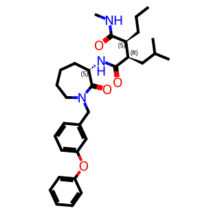 CCC[C@H](C(=O)NC)[C@@H](CC(C)C)C(=O)N[C@H]1CCCCN(Cc2cccc(Oc3ccccc3)c2)C1=O